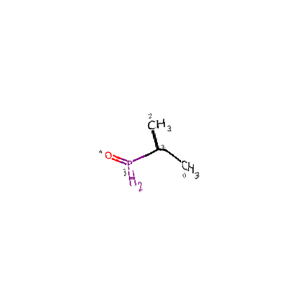 CC(C)[PH2]=O